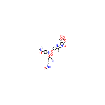 CCc1c2c(nc3ccc(OCN(C(=O)OC(CC#N)CCCCCNC(C)=O)c4ccc(C(=O)N(CC)CC)cc4)cc13)-c1cc3c(c(=O)n1C2)COC(=O)C3(O)CC